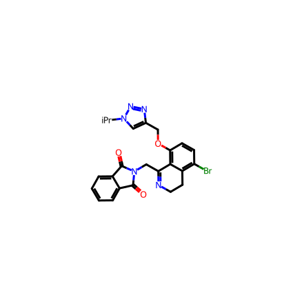 CC(C)n1cc(COc2ccc(Br)c3c2C(CN2C(=O)c4ccccc4C2=O)=NCC3)nn1